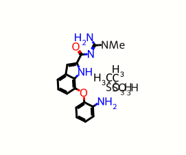 CNC(N)=NC(=O)c1cc2cccc(Oc3ccccc3N)c2[nH]1.CS(=O)(=O)O.CS(=O)(=O)O